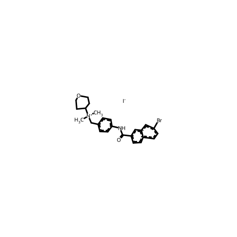 C[N+](C)(Cc1ccc(NC(=O)c2ccc3ccc(Br)cc3c2)cc1)C1CCOCC1.[I-]